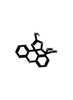 COCC1SC(N)=NC12c1ccccc1Oc1cccc(OC)c12